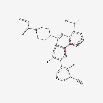 C=CC(=O)N1CCN(/C(=N/c2c(C(C)C)cccc2[S+](C)[O-])c2cc(F)c(-c3cccc(C#N)c3Cl)nc2NC=O)C(C)C1